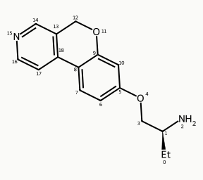 CC[C@H](N)COc1ccc2c(c1)OCc1cnccc1-2